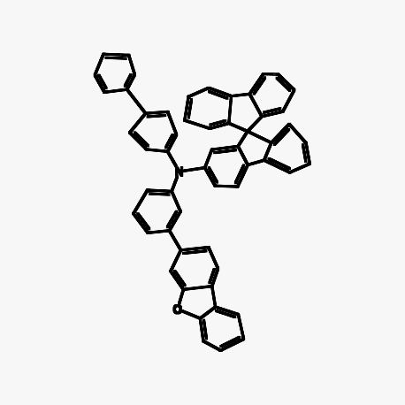 c1ccc(-c2ccc(N(c3cccc(-c4ccc5c(c4)oc4ccccc45)c3)c3ccc4c(c3)C3(c5ccccc5-c5ccccc53)c3ccccc3-4)cc2)cc1